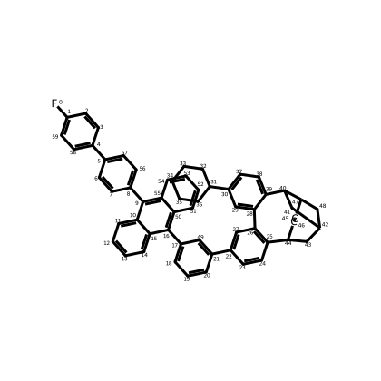 Fc1ccc(-c2ccc(-c3c4ccccc4c(-c4cccc(-c5ccc6c(c5)-c5cc(C7CCCCC7)ccc5C5CC7CC6CCC5C7)c4)c4ccccc34)cc2)cc1